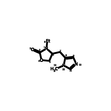 CCN1C(=O)OCC1Cc1cncn1C